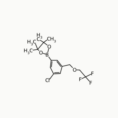 CC1(C)OB(c2cc(Cl)cc(COCC(F)(F)F)c2)OC1(C)C